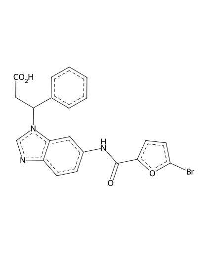 O=C(O)CC(c1ccccc1)n1cnc2ccc(NC(=O)c3ccc(Br)o3)cc21